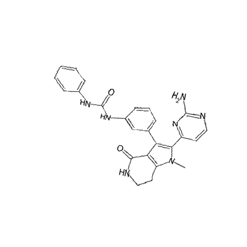 Cn1c2c(c(-c3cccc(NC(=O)Nc4ccccc4)c3)c1-c1ccnc(N)n1)C(=O)NCC2